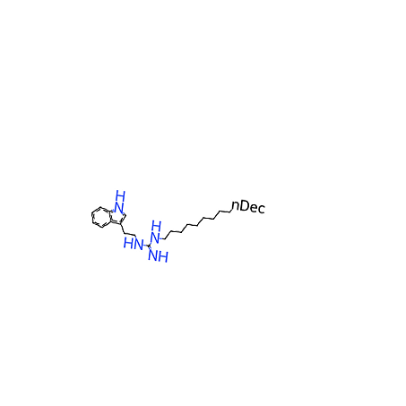 CCCCCCCCCCCCCCCCCCCNC(=N)NCCc1c[nH]c2ccccc12